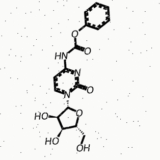 O=C(Nc1ccn([C@@H]2O[C@H](CO)[C@@H](O)[C@H]2O)c(=O)n1)Oc1ccccc1